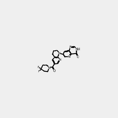 O=C(c1cnc2c(c1)CCCN2c1cnc2c(=O)[nH]cnc2c1)N1CCC(F)(F)CC1